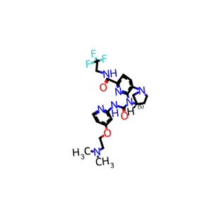 CN(C)CCOc1ccnc(NC(=O)N2c3nc(C(=O)NCC(F)(F)F)ccc3N3CC[C@H]2C3)c1